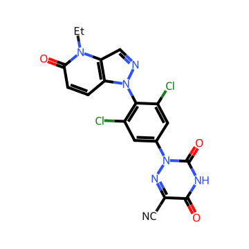 CCn1c(=O)ccc2c1cnn2-c1c(Cl)cc(-n2nc(C#N)c(=O)[nH]c2=O)cc1Cl